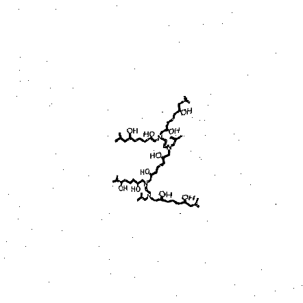 CC(C)CC(O)CCCC(O)CN(CCN(CC(O)CCCC(O)CN(CCN(CC(O)CCCC(O)CC(C)C)CC(O)CCCC(O)CC(C)C)CC(C)C)CC(O)CCCC(O)C(C)C)CC(C)C